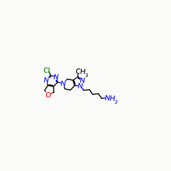 Cc1nn(CCCCCN)c2c1CN(c1nc(Cl)nc3c1COC3)CC2